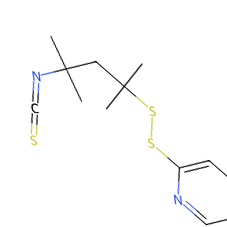 CC(C)(CC(C)(C)SSc1ccccn1)N=C=S